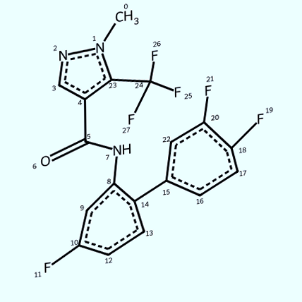 Cn1ncc(C(=O)Nc2cc(F)ccc2-c2ccc(F)c(F)c2)c1C(F)(F)F